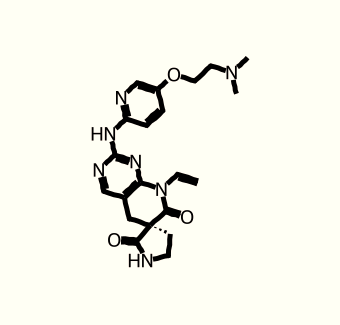 C=CN1C(=O)[C@]2(CCNC2=O)Cc2cnc(Nc3ccc(OCCN(C)C)cn3)nc21